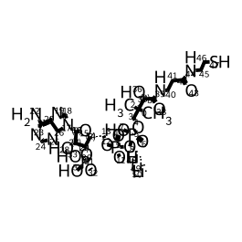 CC(C)(COP(=O)(O)OP(=O)(O)OC[C@H]1O[C@@H](n2cnc3c(N)ncnc32)[C@H](O)[C@@H]1OP(=O)(O)O)[C@@H](O)C(=O)NCCC(=O)NCCS.[Li].[Li].[Li]